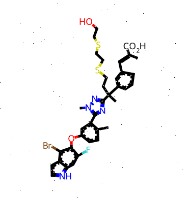 C/C(=C\c1cccc(C(C)(CCSCCSCCO)c2nc(-c3cc(Oc4c(F)cc5[nH]ccc5c4Br)ccc3C)n(C)n2)c1)C(=O)O